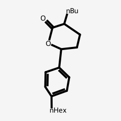 CCCCCCc1ccc(C2CCC(CCCC)C(=O)O2)cc1